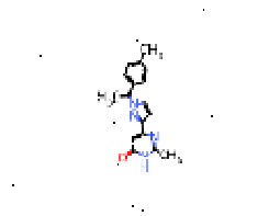 Cc1ccc(C(C)n2ccc(-c3cc(=O)[nH]c(C)n3)n2)cc1